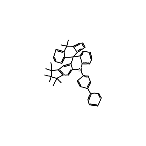 CC1(C)c2ccccc2C2(c3ccccc3N(c3ccc(-c4ccccc4)cc3)c3cc4c(cc32)C(C)(C)C(C)(C)C4(C)C)c2ccccc21